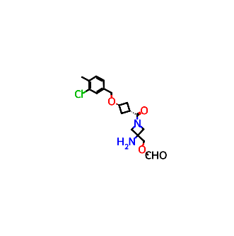 Cc1ccc(CO[C@H]2C[C@@H](C(=O)N3CC(N)(COC=O)C3)C2)cc1Cl